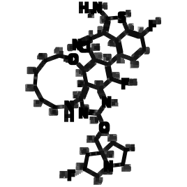 N#Cc1c(N)sc2c(F)ccc(-c3c(Cl)c4c5c(nc(OCC67CCCN6C[C@H](F)C7)nc5c3F)NCCCCCCO4)c12